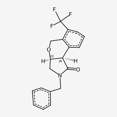 O=C1[C@@H]2c3cccc(C(F)(F)F)c3CO[C@@H]2CN1Cc1ccccc1